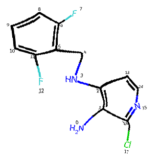 Nc1c(NCc2c(F)cccc2F)ccnc1Cl